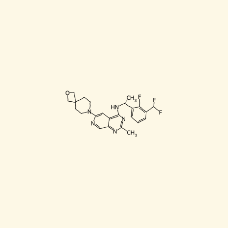 Cc1nc(N[C@H](C)c2cccc(C(F)F)c2F)c2cc(N3CCC4(CC3)COC4)ncc2n1